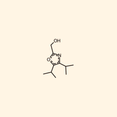 CC(C)c1nc(CO)oc1C(C)C